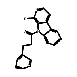 O=C(CCc1ccccc1)n1c2ccccc2c2ccnc(Br)c21